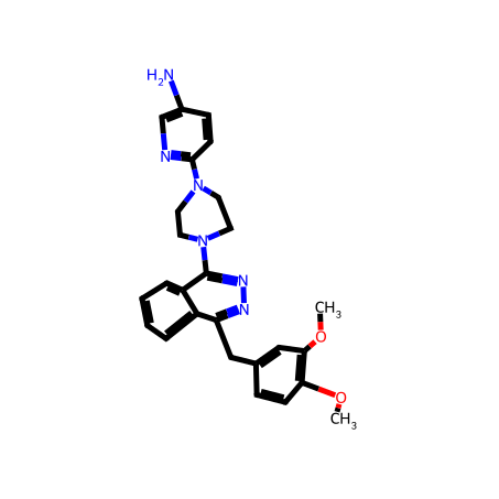 COc1ccc(Cc2nnc(N3CCN(c4ccc(N)cn4)CC3)c3ccccc23)cc1OC